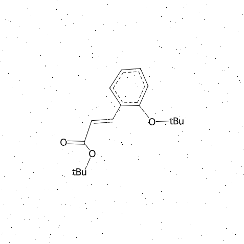 CC(C)(C)OC(=O)C=Cc1ccccc1OC(C)(C)C